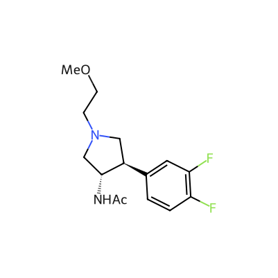 COCCN1C[C@@H](NC(C)=O)[C@H](c2ccc(F)c(F)c2)C1